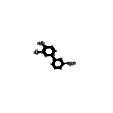 Cc1ccc(-c2cccc(C(=O)O)c2)cc1C